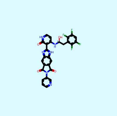 O=C1c2cc3nc(-c4c(N[C@@H](O)Cc5c(F)c(F)cc(F)c5F)cc[nH]c4=O)[nH]c3cc2C(=O)N1c1cccnc1